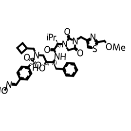 COCc1nc(CN2C(=O)CN([C@H](C(=O)N[C@@H](Cc3ccccc3)[C@@H](O)CN(CC3CCC3)S(=O)(=O)c3ccc(C=NO)cc3)C(C)C)C2=O)cs1